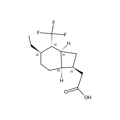 CC[C@@H]1CC[C@@H]2[C@H](CC(=O)O)C[C@@H]2[C@H]1C(F)(F)F